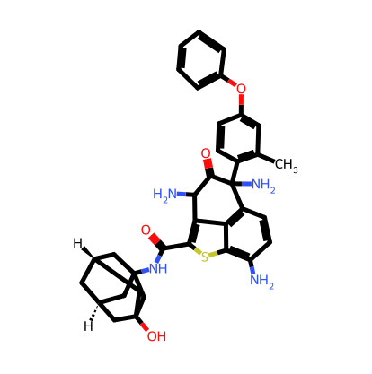 Cc1cc(Oc2ccccc2)ccc1C1(N)C(=O)C(N)c2c(C(=O)NC34C[C@@H]5C[C@@H](CC(O)(C5)C3)C4)sc3c(N)ccc1c23